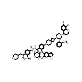 Cc1ccccc1[C@@H]1CN([C@@H]2CCOc3c2ccc(F)c3F)CCN1C1CC2(CCN(c3ccc(C(=O)NS(=O)(=O)c4ccc(NCC5CCOCC5)c([N+](=O)[O-])c4)c(N4c5cc6cc[nH]c6nc5O[C@H]5COCC[C@@H]54)c3)CC2)C1